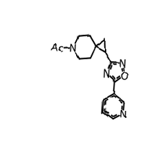 CC(=O)N1CCC2(CC1)CC2c1noc(-c2cccnc2)n1